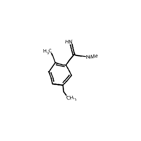 CNC(=N)c1cc(C)ccc1C